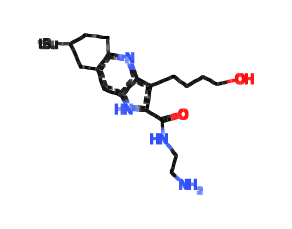 CC(C)(C)C1CCc2nc3c(CCCCO)c(C(=O)NCCN)[nH]c3cc2C1